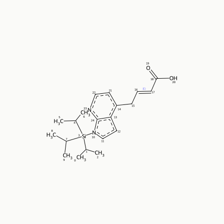 CC(C)[Si](C(C)C)(C(C)C)n1ccc2c(C/C=C/C(=O)O)ccnc21